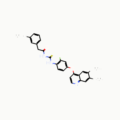 COc1cccc(CC(=O)NC(=S)Nc2ccc(Oc3ccnc4cc(OC)c(OC)cc34)cc2F)c1